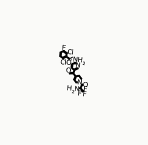 C[C@@H](Oc1c(N)ncc2c(C3=CCN(C(=O)C(N)C(F)(F)F)CC3)coc12)c1c(Cl)ccc(F)c1Cl